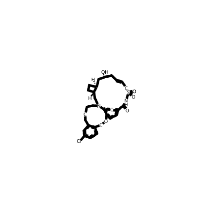 O=C1NS(=O)(=O)C/C=C/C[C@@H](O)C[C@@H]2CC[C@H]2CN2CCCCc3cc(Cl)ccc3COc3ccc1cc32